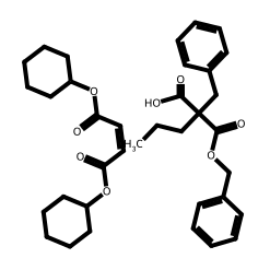 CCCC(Cc1ccccc1)(C(=O)O)C(=O)OCc1ccccc1.O=C(/C=C\C(=O)OC1CCCCC1)OC1CCCCC1